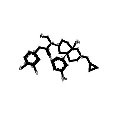 CC(=O)Oc1cccc([C@@]23CCN(CC4CC4)C[C@@]2(O)CC[C@H](N(CC(C)C)C(=O)Cc2ccc(Cl)c(Cl)c2)C3)c1